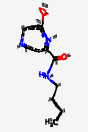 CCCCNC(=O)c1cncc([O])n1